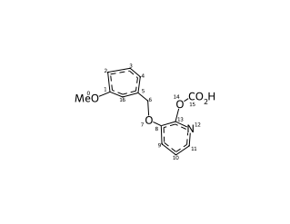 COc1cccc(COc2cccnc2OC(=O)O)c1